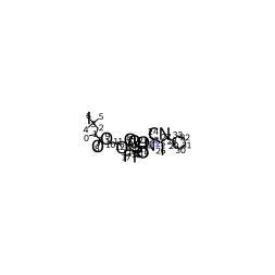 CC(CC(C)(C)I)C(=O)OCCOC(=O)C(F)(F)S(=O)(=O)O/N=C(\C#N)C(I)Cc1ccccc1